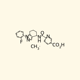 O=C(O)c1ccc(C(=O)NC2CCCc3c2cnn3-c2ccccc2F)nc1.[CH3]